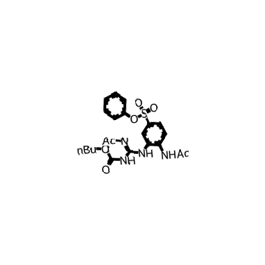 CCCCOC(=O)NC(=NC(C)=O)Nc1cc(S(=O)(=O)Oc2ccccc2)ccc1NC(C)=O